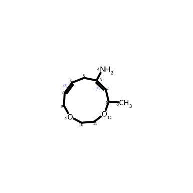 CC1/C=C(/N)C/C=C\COCCO1